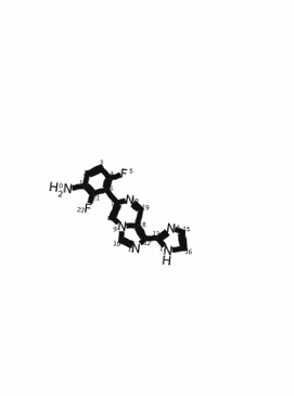 Nc1ccc(F)c(-c2cn3cnc(-c4ncc[nH]4)c3cn2)c1F